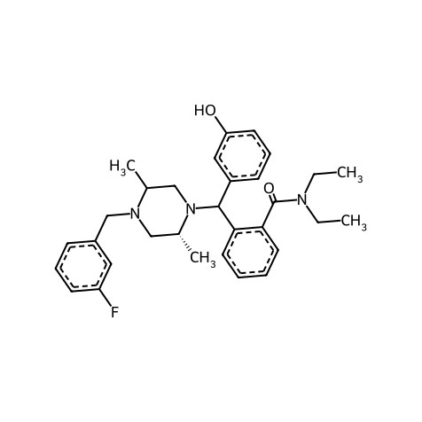 CCN(CC)C(=O)c1ccccc1C(c1cccc(O)c1)N1CC(C)N(Cc2cccc(F)c2)C[C@H]1C